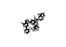 COc1ccncc1-c1cc2c(cnn2-c2cc3c(nc(N4CCN5CCC[C@H]5C4)n3C)c(N3C[C@H]4C[C@@H]3CO4)n2)c(C)n1